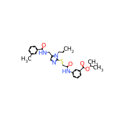 C=CCn1c(CNC(=O)c2cccc(C)c2)cnc1SCC(=O)Nc1cccc(C(=O)OC(C)C)c1